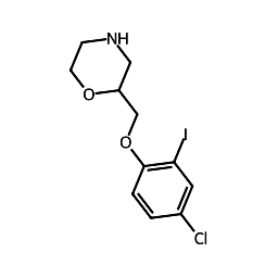 Clc1ccc(OCC2CNCCO2)c(I)c1